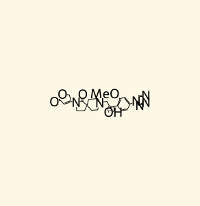 COc1cc(-n2cnnn2)ccc1[C@H](O)CN1CCC2(CC1)CCN(C1=CC(=O)OC1)C2=O